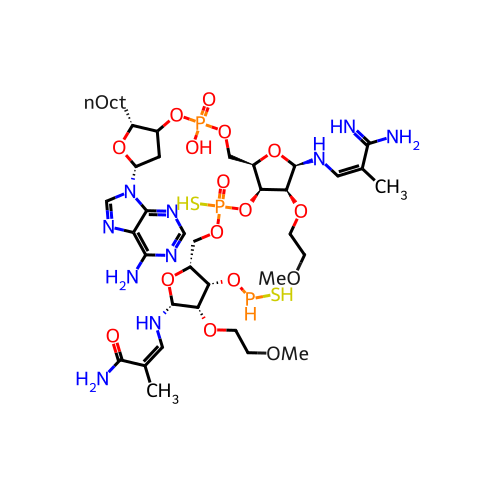 CCCCCCCC[C@H]1O[C@@H](n2cnc3c(N)ncnc32)CC1OP(=O)(O)OC[C@H]1O[C@@H](N/C=C(/C)C(=N)N)[C@@H](OCCOC)[C@H]1OP(=O)(S)OC[C@H]1O[C@@H](N/C=C(/C)C(N)=O)[C@@H](OCCOC)[C@H]1OPS